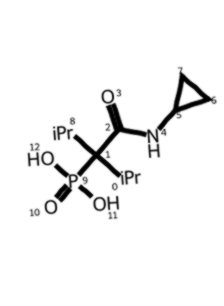 CC(C)C(C(=O)NC1CC1)(C(C)C)P(=O)(O)O